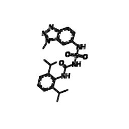 CC(C)c1cccc(C(C)C)c1NC(=O)NS(=O)(=O)Nc1ccc2nnn(C)c2c1